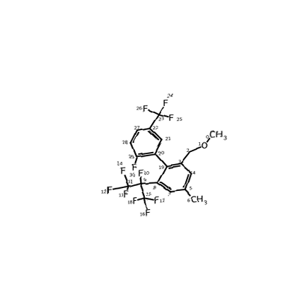 COCc1[c]c(C)cc(C(F)(C(F)(F)F)C(F)(F)F)c1-c1cc(C(F)(F)F)ccc1F